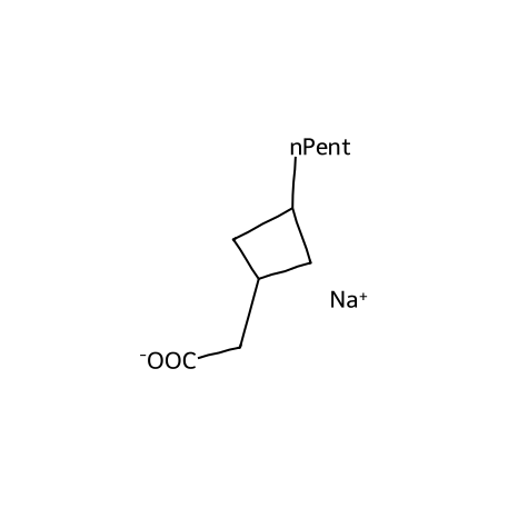 CCCCCC1CC(CC(=O)[O-])C1.[Na+]